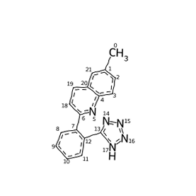 Cc1ccc2nc(-c3ccccc3-c3nnn[nH]3)ccc2c1